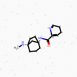 CN[C@]12CCC[C@](NC(=O)C3=CCCC=N3)(CC1)C2